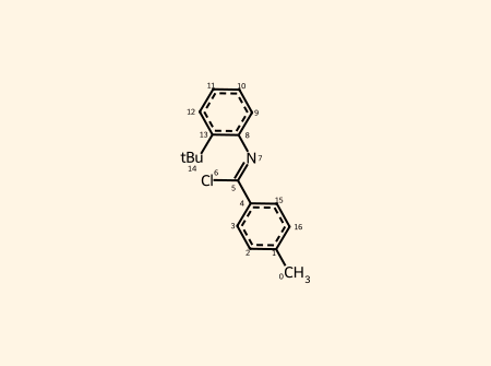 Cc1ccc(C(Cl)=Nc2ccccc2C(C)(C)C)cc1